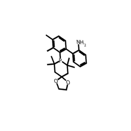 Cc1ccc(-c2ccccc2N)c(P2C(C)(C)CC3(CC2(C)C)OCCO3)c1C